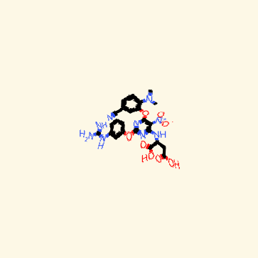 CN(C)c1ccc(C#N)cc1Oc1nc(Oc2cccc(NC(=N)N)c2)nc(NC(CC(=O)O)C(=O)O)c1[N+](=O)[O-]